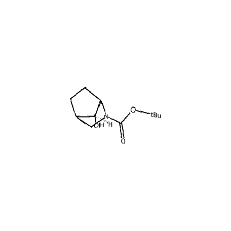 CC(C)(C)OC(=O)N1CC2CCC1[C@H]2O